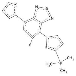 C[Si](C)(C)c1ccc(-c2c(F)cc(-c3cccs3)c3nsnc23)s1